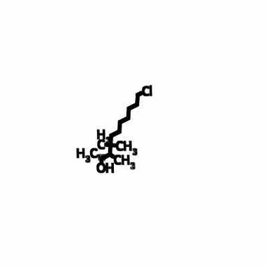 CC([C@@H](C)O)C(C)(C)CCCCCCCCl